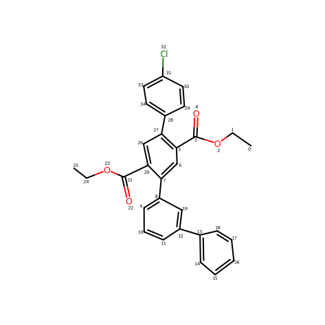 CCOC(=O)c1cc(-c2cccc(-c3ccccc3)c2)c(C(=O)OCC)cc1-c1ccc(Cl)cc1